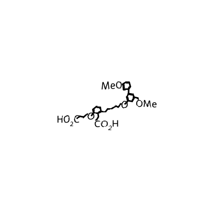 COCc1cc(OCCCCCCc2cccc(OCCCC(=O)O)c2CCC(=O)O)cc(-c2cccc(OC)c2)c1